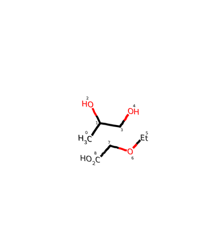 CC(O)CO.CCOCC(=O)O